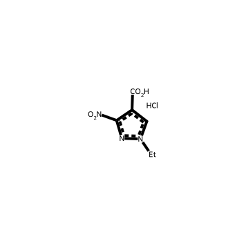 CCn1cc(C(=O)O)c([N+](=O)[O-])n1.Cl